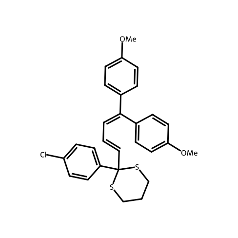 COc1ccc(C(=CC=CC2(c3ccc(Cl)cc3)SCCCS2)c2ccc(OC)cc2)cc1